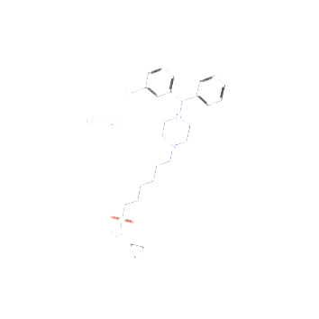 Br.Br.O=S(=O)(CCCCCCN1CCN(C(c2ccccc2)c2cccc(Cl)c2)CC1)NC1CC1